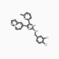 Cc1cccc(-c2[nH]c(NCc3ccc(Cl)c(Cl)c3)nc2-c2ccn3nccc3c2)n1